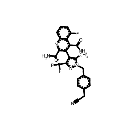 Cc1c(-c2c(C(N)=O)nc3cccc(F)c3c2C(N)=O)c(C(F)(F)F)nn1Cc1ccc(CC#N)cc1